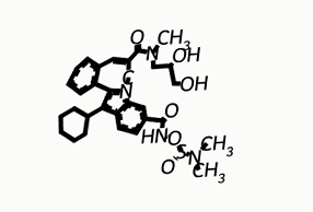 CN(CC(O)CO)C(=O)C1=Cc2ccccc2-c2c(C3CCCCC3)c3ccc(C(=O)NOS(=O)N(C)C)cc3n2C1